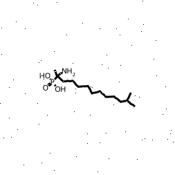 CC(C)CCCCCCCCCC(C)(N)P(=O)(O)O